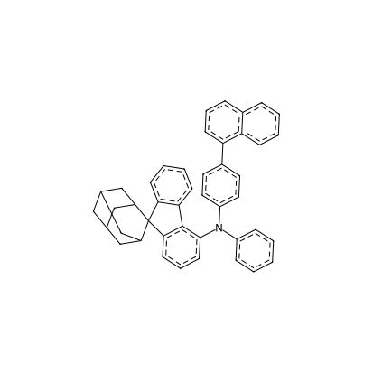 c1ccc(N(c2ccc(-c3cccc4ccccc34)cc2)c2cccc3c2-c2ccccc2C32C3CC4CC(C3)CC2C4)cc1